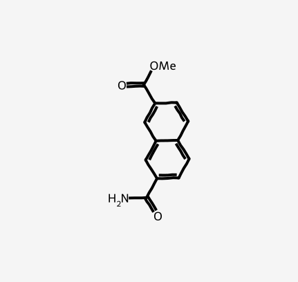 COC(=O)c1ccc2ccc(C(N)=O)cc2c1